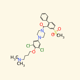 CN(C)CCCCOc1c(Cl)cc(N2CCN(C(=O)c3cc(S(C)(=O)=O)ccc3-c3ccccc3)CC2)cc1Cl